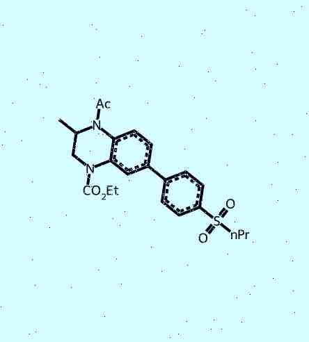 CCCS(=O)(=O)c1ccc(-c2ccc3c(c2)N(C(=O)OCC)CC(C)N3C(C)=O)cc1